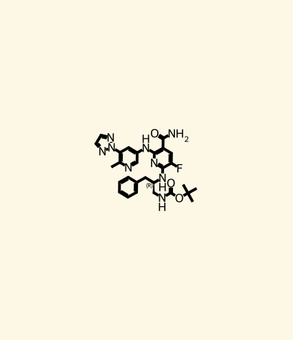 Cc1ncc(Nc2nc(N[C@@H](CNC(=O)OC(C)(C)C)Cc3ccccc3)c(F)cc2C(N)=O)cc1-n1nccn1